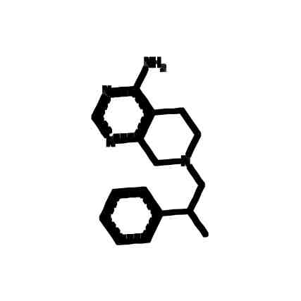 CC(CN1CCc2c(N)ncnc2C1)c1ccccc1